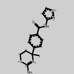 CC1(c2ccc(C(=O)Nc3ccon3)cc2)CCSC(N)=N1